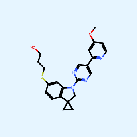 COc1ccnc(-c2cnc(N3CC4(CC4)c4ccc(SCCCO)cc43)nc2)c1